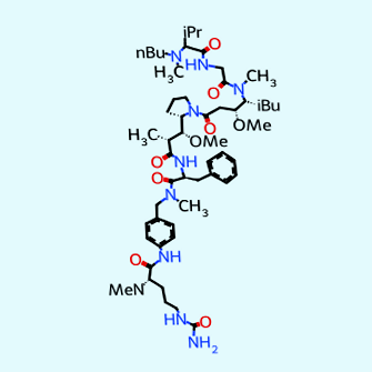 CCCCN(C)C(C(=O)NCC(=O)N(C)C([C@@H](C)CC)[C@@H](CC(=O)N1CCC[C@H]1[C@H](OC)[C@@H](C)C(=O)N[C@@H](Cc1ccccc1)C(=O)N(C)Cc1ccc(NC(=O)[C@H](CCCNC(N)=O)NC)cc1)OC)C(C)C